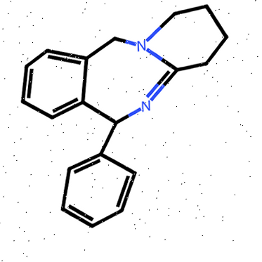 c1ccc(C2N=C3CCCCN3Cc3ccccc32)cc1